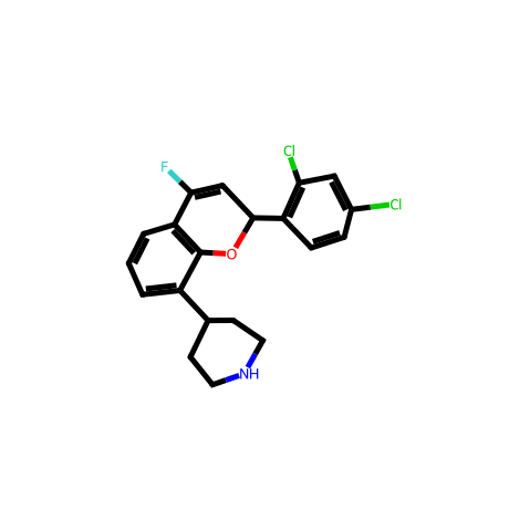 FC1=CC(c2ccc(Cl)cc2Cl)Oc2c1cccc2C1CCNCC1